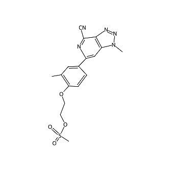 Cc1cc(-c2cc3c(nnn3C)c(C#N)n2)ccc1OCCOS(C)(=O)=O